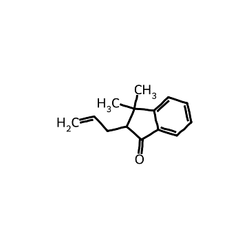 C=CCC1C(=O)c2ccccc2C1(C)C